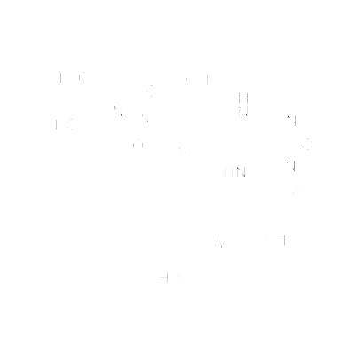 CC[C@@H](Nc1c(Nc2csc(S(=O)(=O)N(CC)CC)c2O)no[n+]1[O-])c1ccc(C)s1